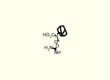 N=C(N)OOSN(C(=O)O)C12CC3CC(CC(C3)C1)C2